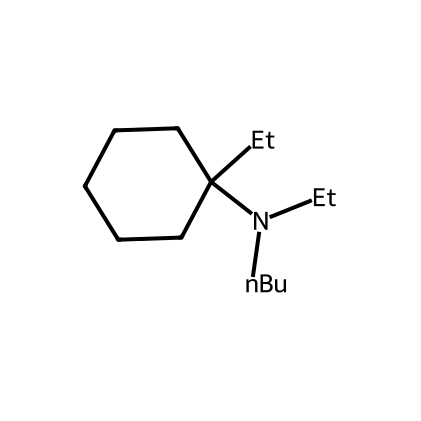 CCCCN(CC)C1(CC)CCCCC1